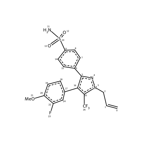 C=CCn1nc(-c2ccc(S(N)(=O)=O)cc2)c(-c2ccc(OC)c(F)c2)c1C(F)(F)F